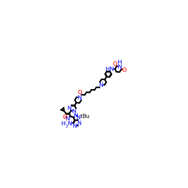 CC(C)(C)n1nc(-c2noc(C3CC3)c2-c2ncc(C3CCN(C(=O)CCCCCCCN4CCC(c5ccc(NC6CCC(=O)NC6=O)cc5)CC4)CC3)cn2)c2c(N)ncnc21